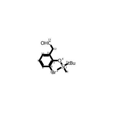 CC(C)(C)[Si](C)(C)Oc1c(Br)cccc1CC=O